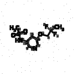 CC(F)(F)COc1cncc(NS(C)(=O)=O)c1